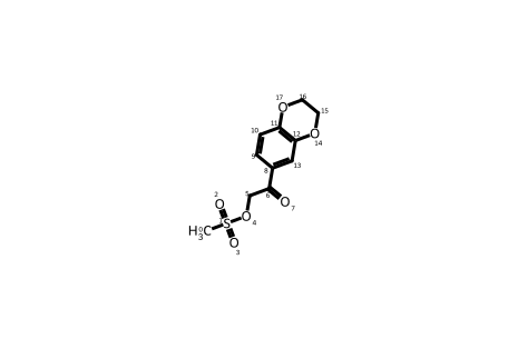 CS(=O)(=O)OCC(=O)c1ccc2c(c1)OCCO2